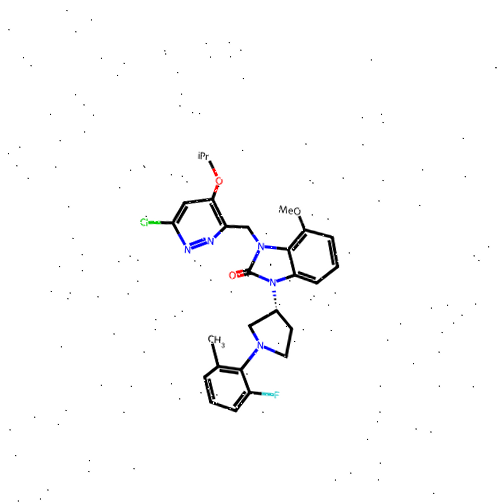 COc1cccc2c1n(Cc1nnc(Cl)cc1OC(C)C)c(=O)n2[C@@H]1CCN(c2c(C)cccc2F)C1